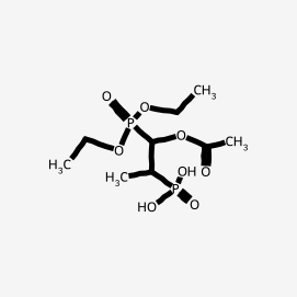 CCOP(=O)(OCC)C(OC(C)=O)C(C)P(=O)(O)O